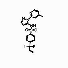 C=CC(F)(F)c1ccc(S(=O)(=O)Nc2ccnn2-c2cc(C)ccn2)cc1